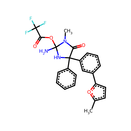 Cc1ccc(-c2cccc(C3(c4ccccc4)NC(N)(OC(=O)C(F)(F)F)N(C)C3=O)c2)o1